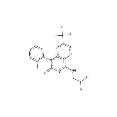 Cc1ccccc1-n1c(=O)nc(NCC(F)F)c2ccc(C(F)(F)F)cc21